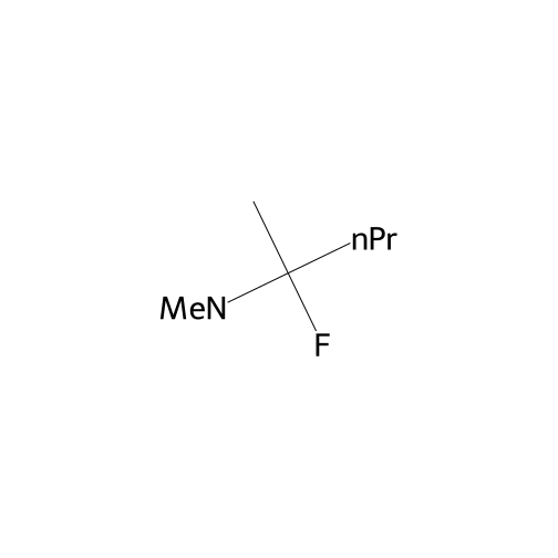 CCCC(C)(F)NC